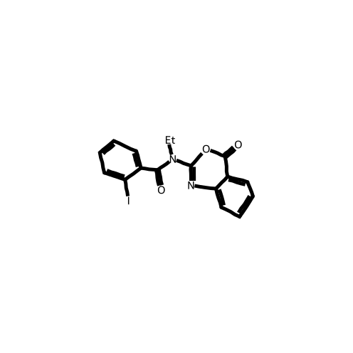 CCN(C(=O)c1ccccc1I)c1nc2ccccc2c(=O)o1